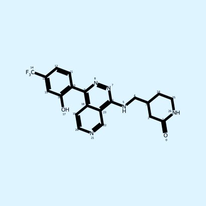 O=C1CC(CNc2nnc(-c3ccc(C(F)(F)F)cc3O)c3ccncc23)CCN1